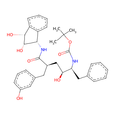 CC(C)(C)OC(=O)N[C@@H](Cc1ccccc1)[C@@H](O)C[C@@H](Cc1cccc(O)c1)C(=O)N[C@H]1c2ccccc2[C@@H](O)[C@H]1O